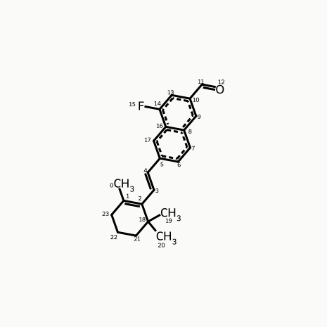 CC1=C(/C=C/c2ccc3cc(C=O)cc(F)c3c2)C(C)(C)CCC1